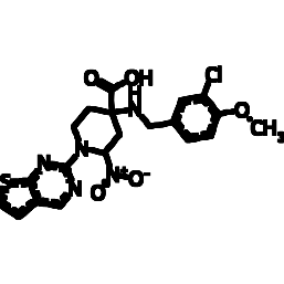 COc1ccc(CNC2(C(=O)O)CCN(c3ncc4ccsc4n3)C([N+](=O)[O-])C2)cc1Cl